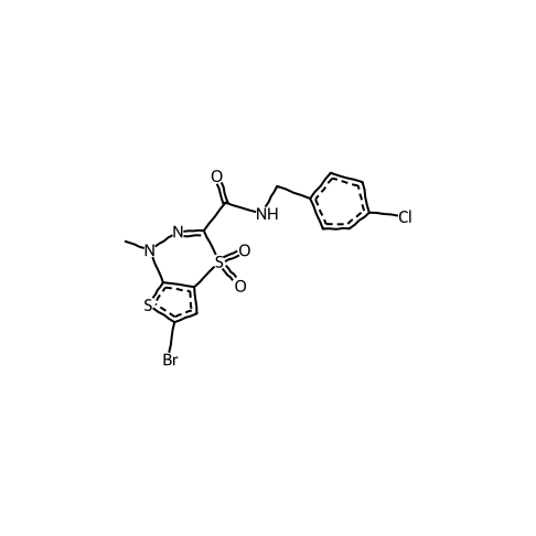 CN1N=C(C(=O)NCc2ccc(Cl)cc2)S(=O)(=O)c2cc(Br)sc21